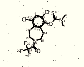 CN(C)C(=S)Oc1c(Cl)cc(Cl)c2c1CCN(C(=O)C(F)(F)F)CC2